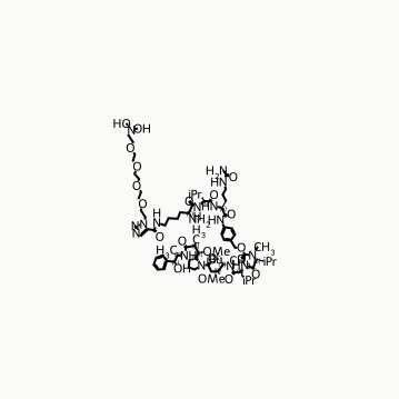 CC[C@H](C)[C@@H]([C@@H](CC(=O)N1CCC[C@H]1[C@H](OC)[C@@H](C)C(=O)N[C@H](C)[C@@H](O)c1ccccc1)OC)N(C)C(=O)[C@@H](NC(=O)[C@H](C(C)C)N(C)C(=O)OCc1ccc(NC(=O)[C@H](CCCNC(N)=O)NC(=O)[C@@H](NC(=O)[C@@H](N)CCCCNC(=O)c2cnnn2CCOCCOCCOCCOCCN(O)O)C(C)C)cc1)C(C)C